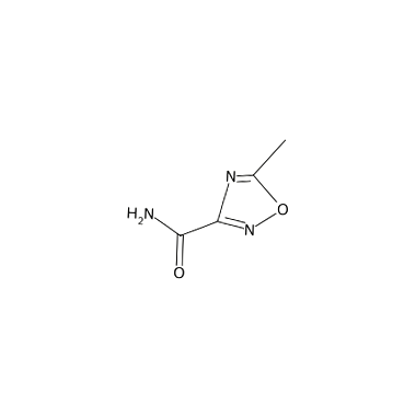 Cc1nc(C(N)=O)no1